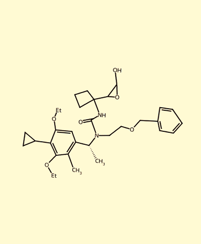 CCOc1cc([C@@H](C)N(CCOCc2ccccc2)C(=O)NC2(C3OC3O)CCC2)c(C)c(OCC)c1C1CC1